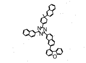 CC1(c2ccc3ccccc3c2)C=CC(c2nc(-c3ccc4ccccc4c3)nc(-c3ccc4ccc(-c5cccc6oc7ccccc7c56)cc4c3)n2)=CC1